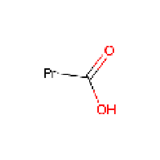 O=[C](O)[Pr]